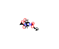 COC(=O)[C@H]1[C@H]2C[C@H](CN(C(=O)OCC[Si](C)(C)C)C2)N1C(=O)C1CC1